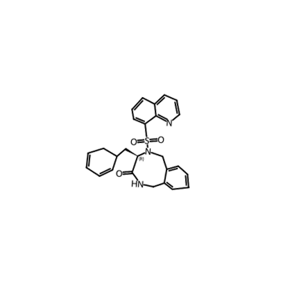 O=C1NCc2ccccc2CN(S(=O)(=O)c2cccc3cccnc23)[C@@H]1CC1C=CC=CC1